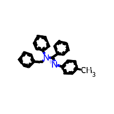 Cc1ccc(/N=C(\c2ccccc2)N(Cc2ccccc2)c2ccccc2)cc1